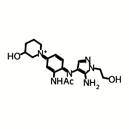 CC(=O)NC1=CC(=[N+]2CCCC(O)C2)C=CC1=Nc1cnn(CCO)c1N